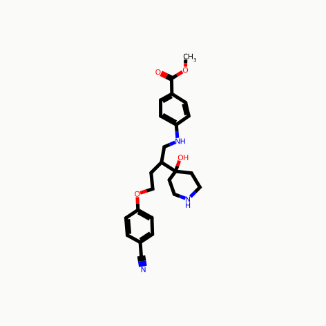 COC(=O)c1ccc(NCC(CCOc2ccc(C#N)cc2)C2(O)CCNCC2)cc1